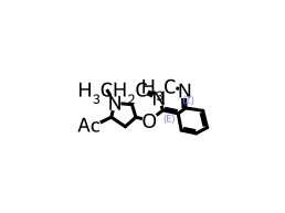 C=N/C(OC1CC(C(C)=O)N(C)C1)=C1/C=CC=C/C1=N/C